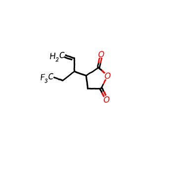 C=CC(CC(F)(F)F)C1CC(=O)OC1=O